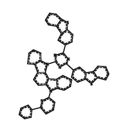 c1ccc(-c2cccc(-n3c4ccccc4c4c3ccc3c5ccccc5n(-c5nc(-c6ccc7sc8ccccc8c7c6)nc(-c6ccc7sc8ccccc8c7c6)n5)c34)n2)cc1